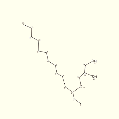 C[CH]C(CCCCCCCCCCC)OCC(O)CO